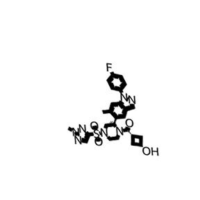 Cc1cc2c(cnn2-c2ccc(F)cc2)cc1[C@@H]1CN(S(=O)(=O)c2cnn(C)n2)CCN1C(=O)[C@H]1C[C@@H](O)C1